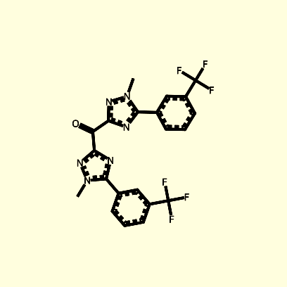 Cn1nc(C(=O)c2nc(-c3cccc(C(F)(F)F)c3)n(C)n2)nc1-c1cccc(C(F)(F)F)c1